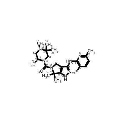 Cc1ccc(F)c(Nc2n[nH]c3c2CN(C(=O)N2CC(C)(C)N(C)C[C@@H]2C)C3(C)C)n1